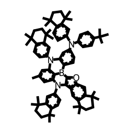 Cc1cc2c3c(c1)N(c1ccc4c(c1)C(C)(C)CCC4(C)C)c1c(oc4cc5c(cc14)C(C)(C)CCC5(C)C)B3c1ccc(N(c3ccc(C(C)(C)C)cc3)c3ccc4c(c3)C(C)(C)CCC4(C)C)cc1N2c1ccc2c(c1)C(C)(C)CCC2(C)C